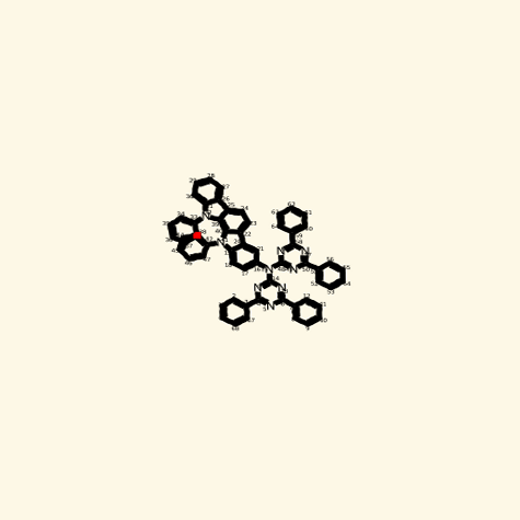 c1ccc(-c2nc(-c3ccccc3)nc(N(c3ccc4c(c3)c3ccc5c6ccccc6n(-c6ccccc6)c5c3n4-c3ccccc3)c3nc(-c4ccccc4)nc(-c4ccccc4)n3)n2)cc1